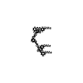 COc1cccc(CN(Cc2cccc(OC)c2)C(=O)OCCOCCOc2cncc(OCCOCCOC(=O)N(Cc3cccc(OC)c3)Cc3cccc(OC)c3)c2)c1